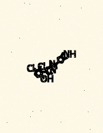 Oc1ccc(Cl)c(Cl)c1-c1ccn2cc(C3CC4CNCC4C3)nc2c1